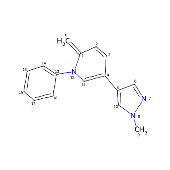 C=C1C=CC(c2cnn(C)c2)=CN1c1ccccc1